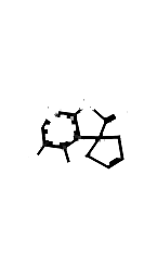 O=C1Nc2ncc(Br)c(Cl)c2C12CC=CC2